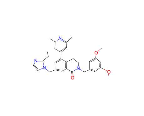 CCc1nccn1Cc1cc2c(c(-c3cc(C)nc(C)c3)c1)CCN(Cc1cc(OC)cc(OC)c1)C2=O